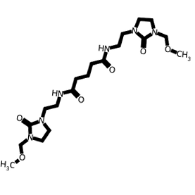 COCN1CCN(CCNC(=O)CCCC(=O)NCCN2CCN(COC)C2=O)C1=O